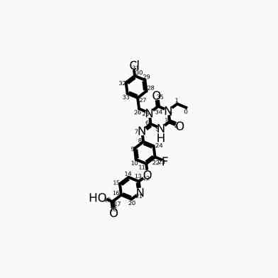 CCn1c(=O)[nH]/c(=N\c2ccc(Oc3ccc(C(=O)O)cn3)c(F)c2)n(Cc2ccc(Cl)cc2)c1=O